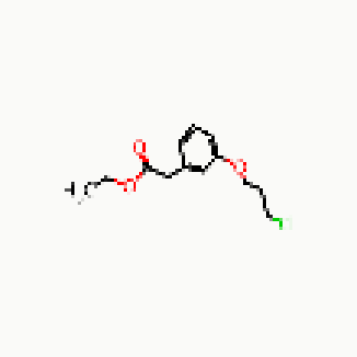 CCOC(=O)Cc1cccc(OCCCCl)c1